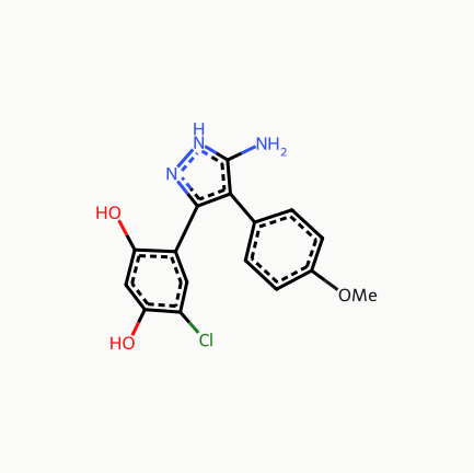 COc1ccc(-c2c(-c3cc(Cl)c(O)cc3O)n[nH]c2N)cc1